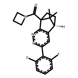 CC1(C)[C@H]2CCC1(C(=O)N1CCC1)c1nnc(-c3c(F)cccc3F)cc12